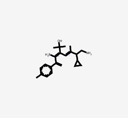 B/C(C(=C)c1ccc(C)cc1)=C(/C=C(\C)C(CN)C1CC1)C(C)(C)O